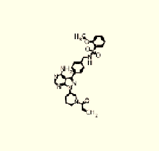 C=CC(=O)N1CCCC(n2nc(-c3ccc(CNS(=O)(=O)c4ccccc4OC)cc3)c3c(N)ncnc32)C1